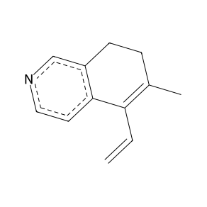 C=CC1=C(C)CCc2cnccc21